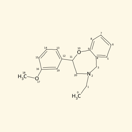 CCN1Cc2ccccc2OC(c2cccc(OC)c2)C1